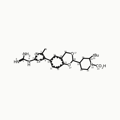 Cc1nc(NC(=N)N)sc1-c1ccc2c(c1)COC(C1CCN(C(=O)O)C(C(C)(C)C)C1)O2